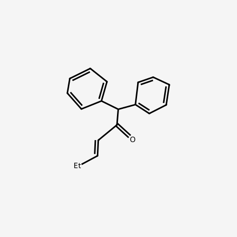 CC/C=C/C(=O)C(c1ccccc1)c1ccccc1